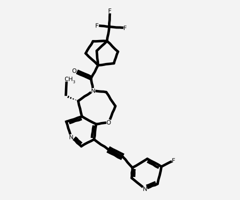 CC[C@H]1c2cncc(C#Cc3cncc(F)c3)c2OCCN1C(=O)C12CCC(C(F)(F)F)(CC1)C2